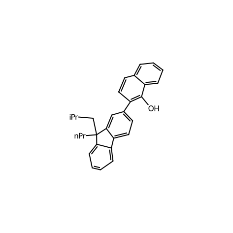 CCCC1(CC(C)C)c2ccccc2-c2ccc(-c3ccc4ccccc4c3O)cc21